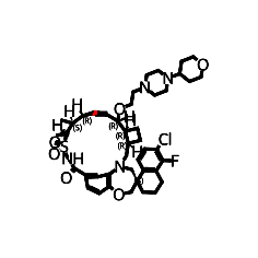 C[C@@H]1[C@@H](C)S(=O)(=O)NC(=O)c2ccc3c(c2)N(C[C@@H]2CC[C@H]2[C@@H](OCCN2CCN(C4CCOCC4)CC2)C2=C[C@H]1C2)C[C@@]1(CCCc2c1ccc(Cl)c2F)CO3